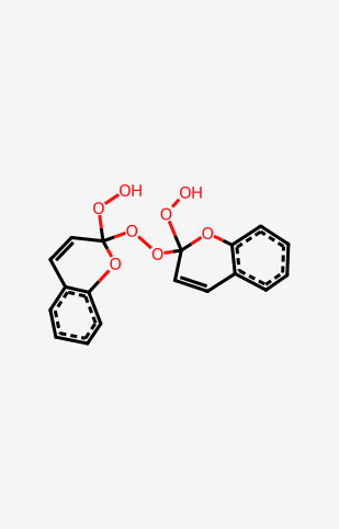 OOC1(OOC2(OO)C=Cc3ccccc3O2)C=Cc2ccccc2O1